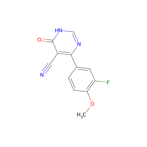 COc1ccc(-c2nc[nH]c(=O)c2C#N)cc1F